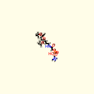 C[N+](C)(C)COP(=O)(O)OCC(=O)NCCC[Si](C)(O[Si](C)(C)C)O[Si](C)(C)O[Si](C)(C)C